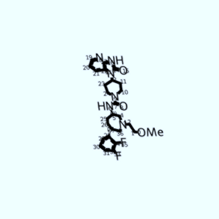 COCCN1C[C@H](NC(=O)N2CCC(n3c(=O)[nH]c4ncccc43)CC2)CC[C@@H](c2cccc(F)c2F)C1